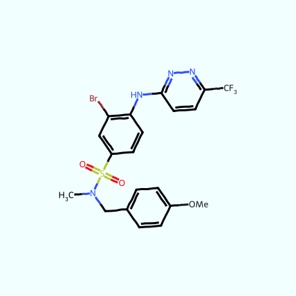 COc1ccc(CN(C)S(=O)(=O)c2ccc(Nc3ccc(C(F)(F)F)nn3)c(Br)c2)cc1